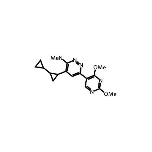 CNc1nnc(-c2cnc(OC)nc2OC)cc1C1CC1C1CC1